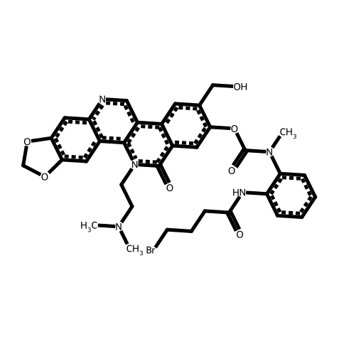 CN(C)CCn1c(=O)c2cc(OC(=O)N(C)c3ccccc3NC(=O)CCCBr)c(CO)cc2c2cnc3cc4c(cc3c21)OCO4